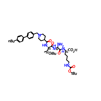 CCCCc1ccc(-c2ccc(CN3CCC(C(=O)N[C@H](C(=O)N[C@@H](N)C(=O)N[C@@H](CCCCNC(=O)OC(C)(C)C)C(=O)O)[C@@H](C)OCC(C)C)CC3)cc2)cc1